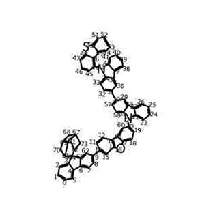 c1ccc2c(c1)-c1ccc(-c3ccc4c(c3)oc3ccc(-n5c6ccccc6c6cc(-c7ccc8c(c7)c7ccccc7n8-c7cccc8sc9ccccc9c78)ccc65)cc34)cc1C21C2CC3CC(C2)CC1C3